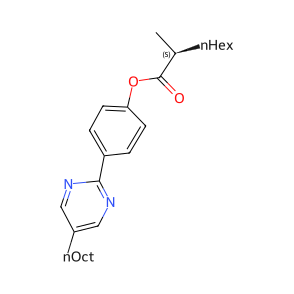 CCCCCCCCc1cnc(-c2ccc(OC(=O)[C@@H](C)CCCCCC)cc2)nc1